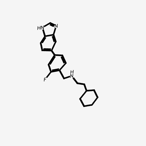 Fc1cc(-c2ccc3[nH]cnc3c2)ccc1CNCCC1CCCCC1